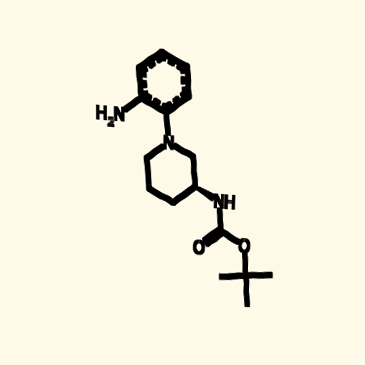 CC(C)(C)OC(=O)N[C@H]1CCCN(c2ccccc2N)C1